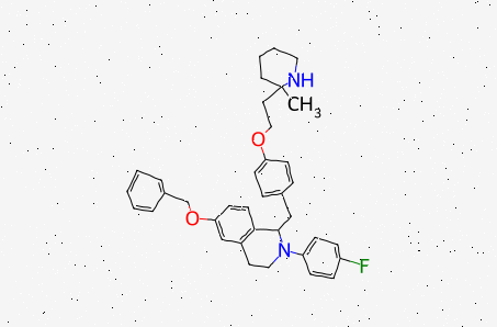 CC1(CCOc2ccc(CC3c4ccc(OCc5ccccc5)cc4CCN3c3ccc(F)cc3)cc2)CCCCN1